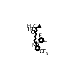 CC(O)(CC(=O)CCCCc1nc2ccc(C(F)(F)F)cc2n1-c1cc(F)cc(F)c1)C1CC1